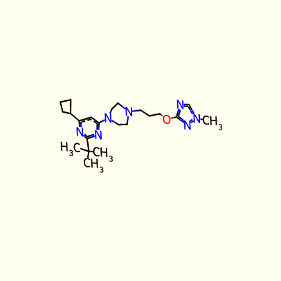 Cn1cnc(OCCCN2CCN(c3cc(C4CCC4)nc(C(C)(C)C)n3)CC2)n1